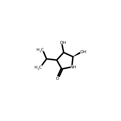 CC(C)C1C(=O)N[C@H](O)C1O